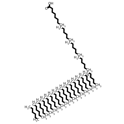 CCCCCC.CCCCCC.CCCCCC.CCCCCC.CCCCCC.CCCCCC.CCCCCC.CCCCCC.CCCCCC.CCCCCC.CCCCCC.CCCCCC.CCCCCC.CCCCCC.CCCCCC.CCCCCC.CCCCCC.CCCCCC.CCCCCC.CCCCCCCC(=O)O